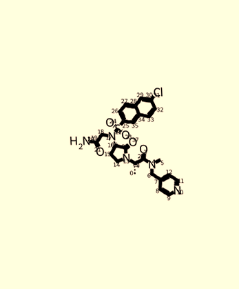 C[C@@H](C(=O)N(C)Cc1ccncc1)N1CC[C@H](N(CC(N)=O)S(=O)(=O)c2ccc3cc(Cl)ccc3c2)C1=O